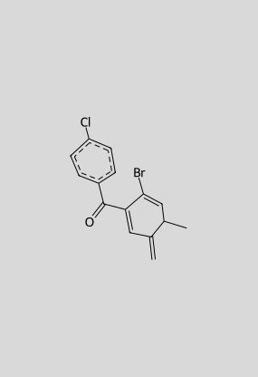 C=C1C=C(C(=O)c2ccc(Cl)cc2)C(Br)=CC1C